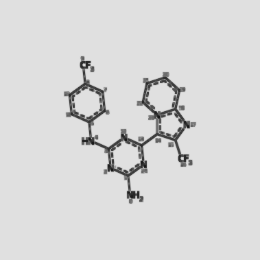 Nc1nc(Nc2ccc(C(F)(F)F)cc2)nc(-c2c(C(F)(F)F)nc3ccccn23)n1